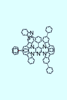 c1ccc(-c2ccc3c(c2)c2ccccc2n3-c2nc(-n3c4ccccc4c4cc(-c5ccccc5)ccc43)c(-n3c4ccccc4c4cc(-c5ccccc5)ccc43)c(-c3cccc(-c4nc5ccccc5s4)c3)c2-n2c3ccccc3c3cc(-c4ccccc4)ccc32)cc1